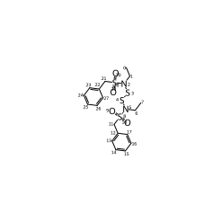 CCN(SSN(CC)S(=O)(=O)Cc1ccccc1)S(=O)(=O)Cc1ccccc1